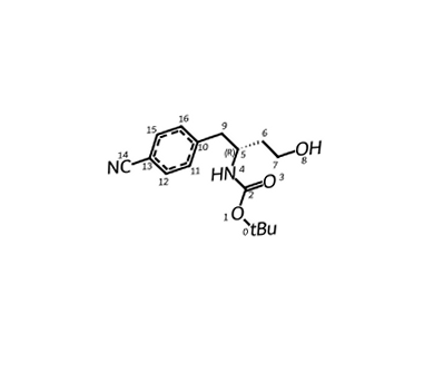 CC(C)(C)OC(=O)N[C@@H](CCO)Cc1ccc(C#N)cc1